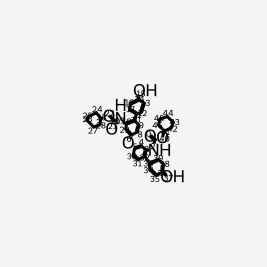 O=C(Nc1cc(Oc2ccc(-c3ccc(O)cc3)c(NC(=O)OC3CCCCC3)c2)ccc1-c1ccc(O)cc1)OC1CCCCC1